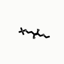 CCOCC(Br)=C(Br)CCO[Si](C)(C)C